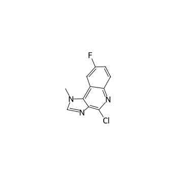 Cn1cnc2c(Cl)nc3ccc(F)cc3c21